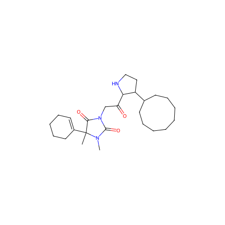 CN1C(=O)N(CC(=O)C2NCCC2C2CCCCCCCC2)C(=O)C1(C)C1=CCCCC1